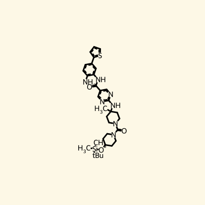 CC1(Nc2ncc(C(=O)Nc3cc(-c4cccs4)ccc3N)cn2)CCN(C(=O)N2CCC(O[Si](C)(C)C(C)(C)C)CC2)CC1